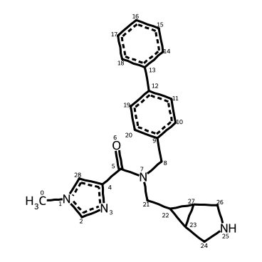 Cn1cnc(C(=O)N(Cc2ccc(-c3ccccc3)cc2)CC2C3CNCC32)c1